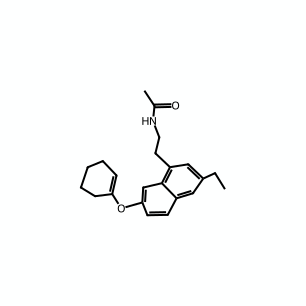 CCc1cc(CCNC(C)=O)c2cc(OC3=CCCCC3)ccc2c1